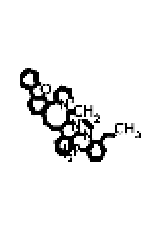 C=C1C2C(CCc3ccc4c(oc5ccccc54)c3-c3cccc[n+]31)c1ccccc1-c1n(-c3c(P)cccc3CCC)cc[n+]12